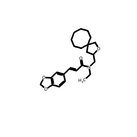 CCN(CC1CC2(CCCCCCC2)CO1)C(=O)/C=C/c1ccc2c(c1)OCO2